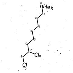 CCCCCCCCCCCCC(Cl)CCl